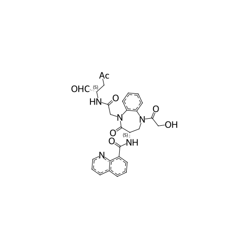 CC(=O)C[C@@H](C=O)NC(=O)CN1C(=O)[C@@H](NC(=O)c2cccc3cccnc23)CN(C(=O)CO)c2ccccc21